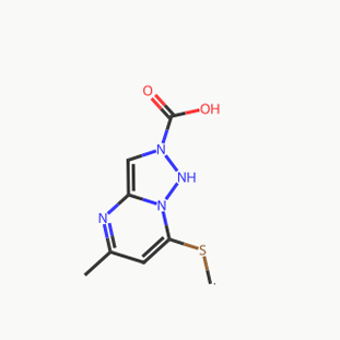 [CH2]SC1=CC(C)=NC2=CN(C(=O)O)NN21